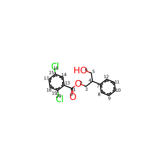 O=C(OCC(CO)c1ccccc1)c1cc(Cl)ccc1Cl